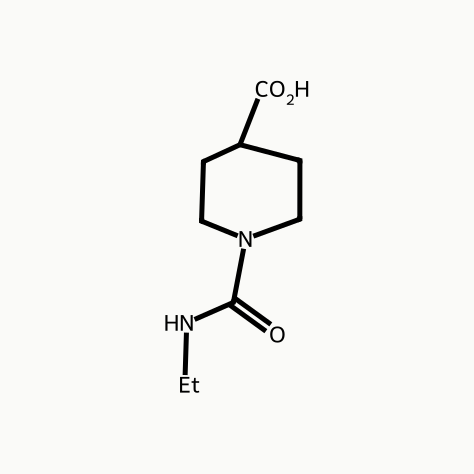 CCNC(=O)N1CCC(C(=O)O)CC1